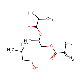 C=C(C)C(=O)OCC(C)OC(=O)C(=C)C.CC(O)CCO